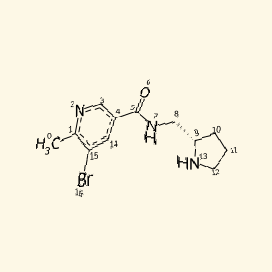 Cc1ncc(C(=O)NC[C@@H]2CCCN2)cc1Br